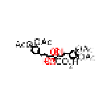 CC(=O)Oc1ccc(C=CC(=O)C(O)C(O)(C(=O)O)C(=O)C=Cc2ccc(OC(C)=O)c(OC(C)=O)c2)cc1OC(C)=O